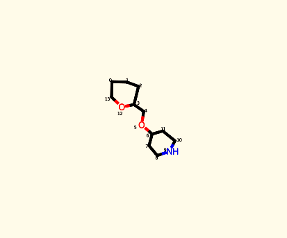 C1CCC(COC2CCNCC2)OC1